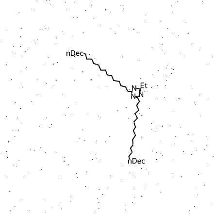 [CH2]Cc1nc(CCCCCCCCCCCCCCCCCCCCCCCC)nc(CCCCCCCCCCCCCCCCCCCCCCCC)n1